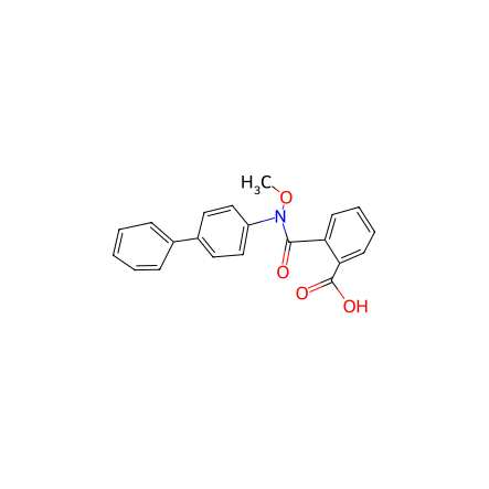 CON(C(=O)c1ccccc1C(=O)O)c1ccc(-c2ccccc2)cc1